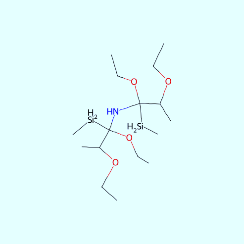 CCOC(C)C(NC(OCC)([SiH2]C)C(C)OCC)(OCC)[SiH2]C